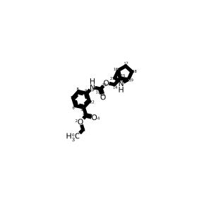 CCOC(=O)c1cccc(NC(=O)OCC2C3CCC2NC3)c1